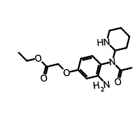 CCOC(=O)COc1ccc(N(C(C)=O)C2CCCCN2)c(N)c1